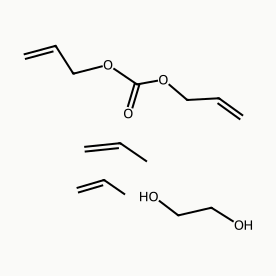 C=CC.C=CC.C=CCOC(=O)OCC=C.OCCO